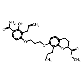 C=CCc1c(OCCCOc2ccc3c(c2CCC)OC(C(=O)OC)CC3)ccc(C(N)=O)c1O